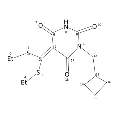 CCSC(SCC)=C1C(=O)NC(=O)N(CC2CCC2)C1=O